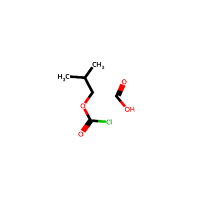 CC(C)COC(=O)Cl.O=CO